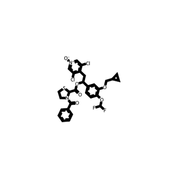 O=C(OC(Cc1c(Cl)c[n+]([O-])cc1Cl)c1ccc(OC(F)F)c(OCC2CC2)c1)C1SCCN1C(=O)c1ccccc1